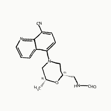 C[C@@H]1CN(c2ccc(C#N)c3ncccc23)C[C@H](CNC=O)O1